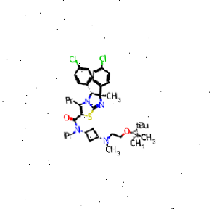 CC(C)C1=C(C(=O)N(C(C)C)[C@H]2C[C@@H](N(C)CCO[Si](C)(C)C(C)(C)C)C2)SC2=N[C@@](C)(c3ccc(Cl)cc3)[C@@H](c3ccc(Cl)cc3)N21